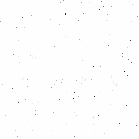 [C-]#[N+]c1ccc(Oc2ccc(Br)c(C=O)c2)nc1N1CCOCC1